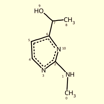 CNc1nccc(C(C)O)n1